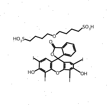 O=C1OC2(c3ccccc31)c1cc(I)c(O)c(I)c1Oc1c2cc(I)c(O)c1I.O=S(=O)(O)CCCCOCCCCS(=O)(=O)O